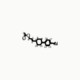 CC(=O)OCC=CC1CCC(c2ccc(C#N)cc2)CC1